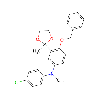 CN(c1ccc(Cl)cc1)c1ccc(OCc2ccccc2)c(C2(C)OCCO2)c1